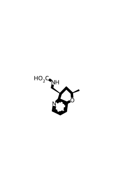 C[C@@H]1C[C@H](CNC(=O)O)c2ncccc2O1